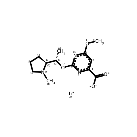 COc1cc(C(=O)[O-])nc(O[C@@H](C)[C@@H]2CCCN2C)n1.[Li+]